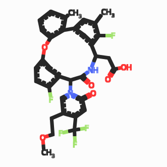 COCCc1cn(C2C(=O)NC(CC(=O)O)c3cc(cc(C)c3F)-c3c(C)cccc3Oc3ccc(F)c2c3)c(=O)cc1C(F)(F)F